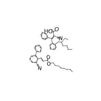 CCCCC(CC)Cc1ccccc1C(=C(C#N)C(=O)O)c1ccccc1.CCCCCCCCOC(=O)C=Cc1c(C#N)cccc1-c1ccccc1